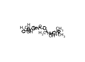 Cc1ccc(C)n1-c1ccc([C@H](O)CN[C@H](C)Cc2cccc(CC(=O)NCc3ccc(C(=O)N[C@H](C)[C@H](O)c4ccccc4)cc3)c2)cn1